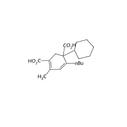 CCCCC1=CC(C)=C(C(=O)O)CC1(C(=O)O)C1CCCCC1